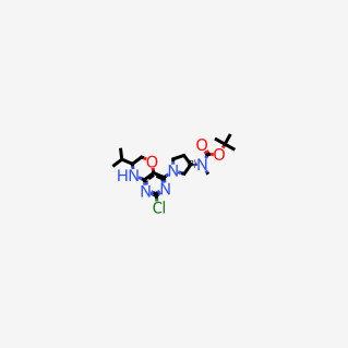 CC(C)C1COc2c(nc(Cl)nc2N2CC[C@@H](N(C)C(=O)OC(C)(C)C)C2)N1